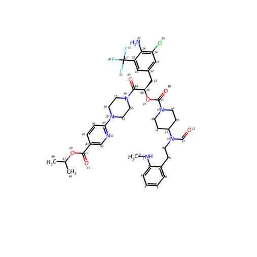 CNc1ccccc1CCN(C=O)C1CCN(C(=O)O[C@H](Cc2cc(Cl)c(N)c(C(F)(F)F)c2)C(=O)N2CCN(c3ccc(C(=O)OC(C)C)cn3)CC2)CC1